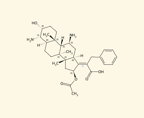 CC(=O)O[C@H]1C[C@@]2(C)[C@@H](C[C@H](N)[C@H]3[C@@]4(C)CC[C@@H](O)[C@@H](N)[C@@H]4CC[C@@]32C)/C1=C(\Cc1ccccc1)C(=O)O